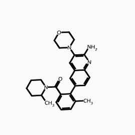 Cc1cccc(C(=O)N2CCCCC2C)c1-c1ccc2nc(N)c(N3CCOCC3)cc2c1